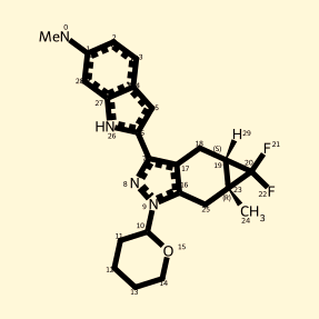 CNc1ccc2cc(-c3nn(C4CCCCO4)c4c3C[C@@H]3C(F)(F)[C@]3(C)C4)[nH]c2c1